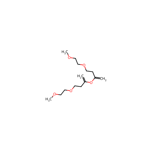 C=C(CCOCCOC)OC(=C)CCOCCOC